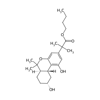 CCCCOC(=O)C(C)(C)c1cc(O)c2c(c1)OC(C)(C)[C@@H]1CC[C@@H](O)C[C@@H]21